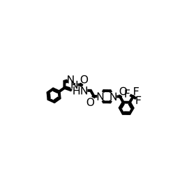 O=C(CNC(=O)n1cc(-c2ccccc2)cn1)N1CCN(C(=O)c2ccccc2C(F)(F)F)CC1